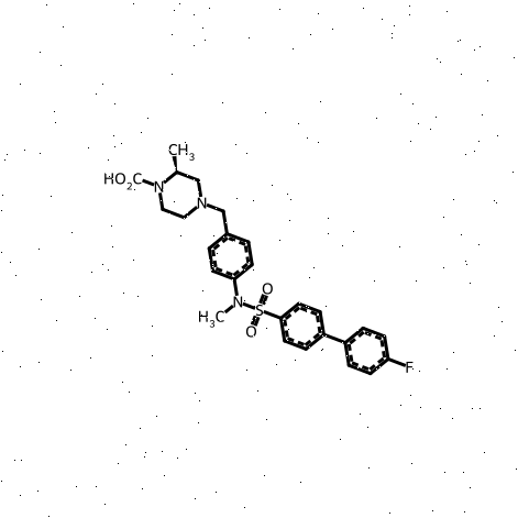 C[C@H]1CN(Cc2ccc(N(C)S(=O)(=O)c3ccc(-c4ccc(F)cc4)cc3)cc2)CCN1C(=O)O